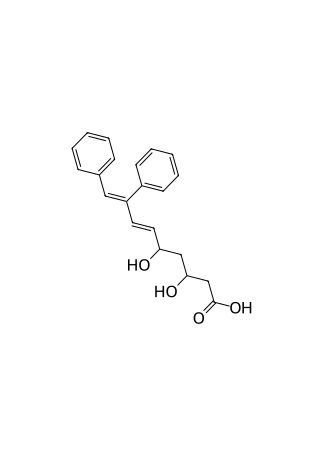 O=C(O)CC(O)CC(O)/C=C/C(=C/c1ccccc1)c1ccccc1